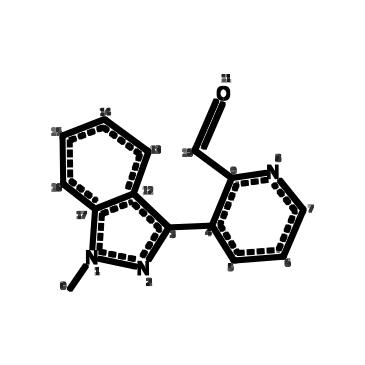 Cn1nc(-c2cccnc2C=O)c2ccccc21